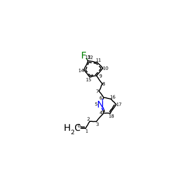 C=CCCC1=NC(CCc2ccc(F)cc2)CC=C1